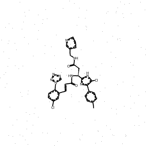 Cc1ccc(-c2nc([C@H](CC(=O)NCc3cccnc3)NC(=O)/C=C/c3cc(Cl)ccc3-n3cnnn3)[nH]c2Cl)cc1